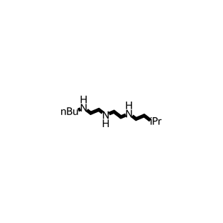 CCCCNCCNCCNCCC(C)C